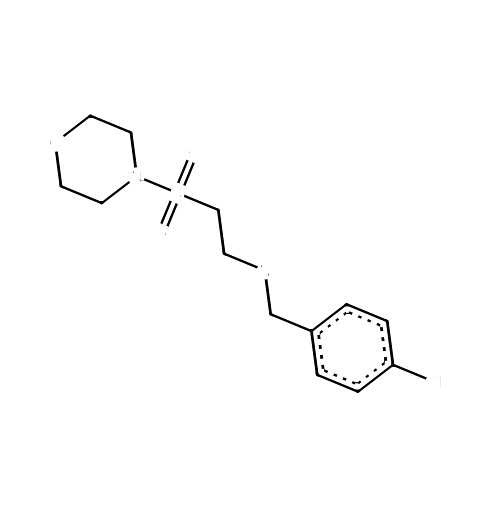 O=S(=O)(CCNCc1ccc(Cl)cc1)N1CCOCC1